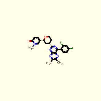 Cc1nc2nc([C@H]3CCO[C@@H](c4ccc(=O)n(C)c4)C3)nc(-c3ccc(F)cc3F)c2nc1C